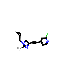 Cc1nc(C#Cc2ccnc(Cl)c2)cn1CC1CC1